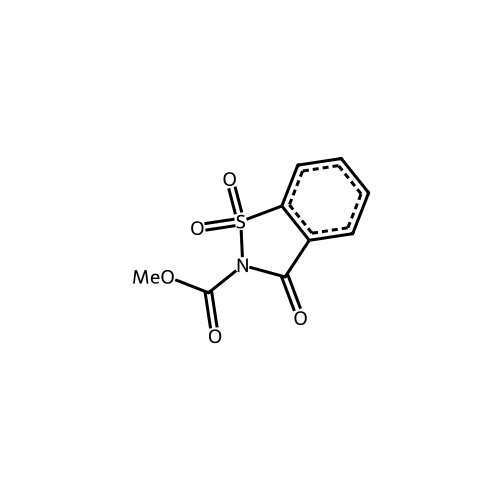 COC(=O)N1C(=O)c2ccccc2S1(=O)=O